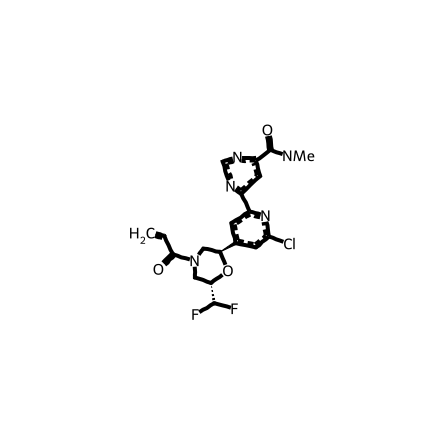 C=CC(=O)N1C[C@@H](c2cc(Cl)nc(-c3cc(C(=O)NC)ncn3)c2)O[C@H](C(F)F)C1